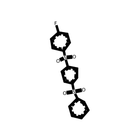 O=S(=O)(c1ccccc1)c1ccc(S(=O)(=O)c2ccc(F)cc2)cc1